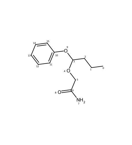 CCCC(OCC(N)=O)Oc1ccccc1